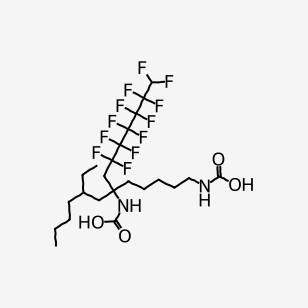 CCCCC(CC)CC(CCCCCNC(=O)O)(CC(F)(F)C(F)(F)C(F)(F)C(F)(F)C(F)(F)C(F)F)NC(=O)O